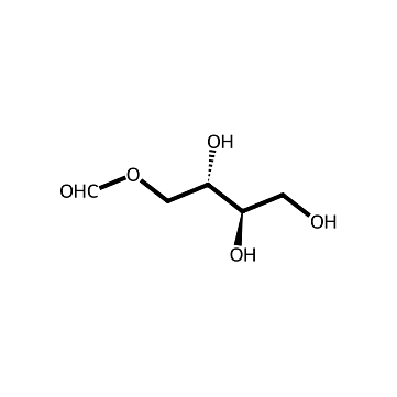 O=COC[C@H](O)[C@H](O)CO